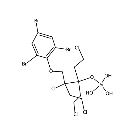 O[Si](O)(O)OC(CCCl)(CCCl)C(Cl)(CCCl)COc1c(Br)cc(Br)cc1Br